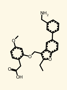 CCc1oc2ccc(-c3cccc(CN)c3)cc2c1COc1cc(OC)ccc1CC(=O)O